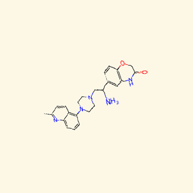 Cc1ccc2c(N3CCN(CC(N)c4ccc5c(c4)NC(=O)CO5)CC3)cccc2n1